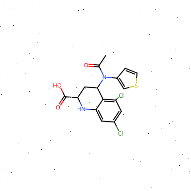 CC(=O)N(c1ccsc1)C1CC(C(=O)O)Nc2cc(Cl)cc(Cl)c21